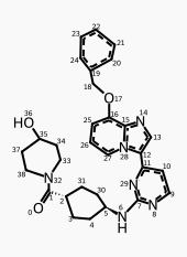 O=C([C@H]1CC[C@H](Nc2nccc(-c3cnc4c(OCc5ccccc5)cccn34)n2)CC1)N1CCC(O)CC1